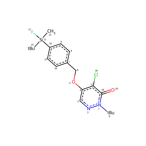 CC(C)(C)n1ncc(OCc2ccc([Si](C)(F)C(C)(C)C)cc2)c(Cl)c1=O